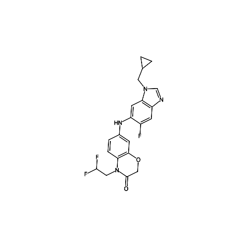 O=C1COc2cc(Nc3cc4c(cc3F)ncn4CC3CC3)ccc2N1CC(F)F